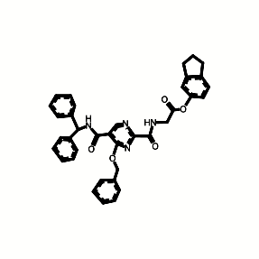 O=C(CNC(=O)c1ncc(C(=O)NC(c2ccccc2)c2ccccc2)c(OCc2ccccc2)n1)Oc1ccc2c(c1)CCC2